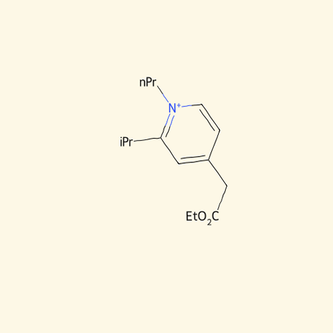 CCC[n+]1ccc(CC(=O)OCC)cc1C(C)C